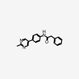 Cc1ncc(-c2ccc(NC(=O)Cc3ccccc3)cc2)cn1